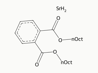 CCCCCCCCOC(=O)c1ccccc1C(=O)OCCCCCCCC.[SrH2]